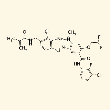 C=C(C)C(=O)NCc1ccc(Cl)c(Nc2nc3cc(C(=O)Nc4cccc(Cl)c4F)c(OCC(F)F)cc3n2C)c1Cl